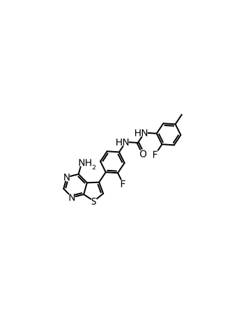 Cc1ccc(F)c(NC(=O)Nc2ccc(-c3csc4ncnc(N)c34)c(F)c2)c1